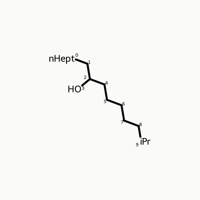 CCCCCCCCC(O)CCCCCC(C)C